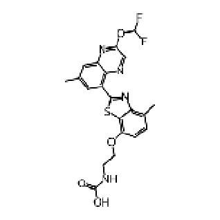 Cc1cc(-c2nc3c(C)ccc(OCCNC(=O)O)c3s2)c2ncc(OC(F)F)nc2c1